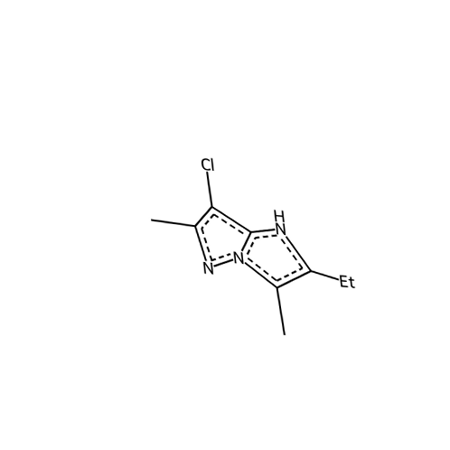 CCc1[nH]c2c(Cl)c(C)nn2c1C